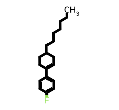 CCCCCCCC1CC=C(c2ccc(F)cc2)CC1